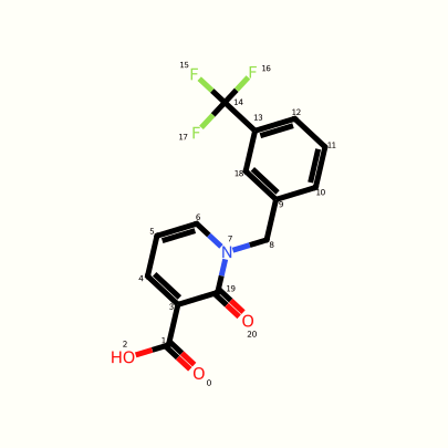 O=C(O)c1cccn(Cc2cccc(C(F)(F)F)c2)c1=O